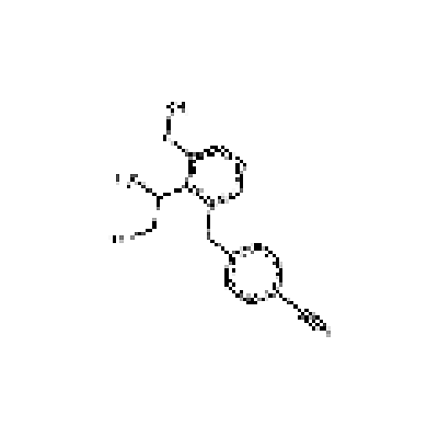 CCC(C)c1c(OC)cccc1Oc1ccc(C#N)cc1